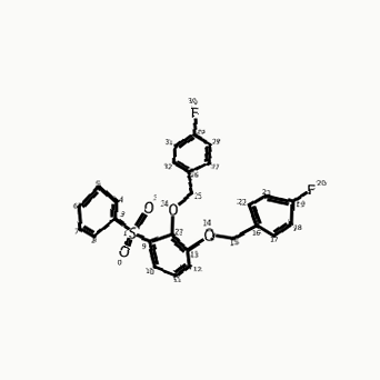 O=S(=O)(c1cc[c]cc1)c1cc[c]c(OCc2ccc(F)cc2)c1OCc1ccc(F)cc1